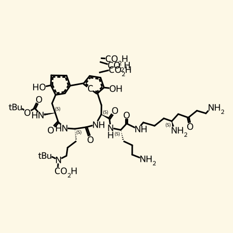 CC(=O)O.CC(=O)O.CC(=O)O.CC(C)(C)OC(=O)N[C@H]1Cc2cc(ccc2O)-c2ccc(O)c(c2)C[C@@H](C(=O)N[C@@H](CCCN)C(=O)NCCC[C@H](N)CC(=O)CCN)NC(=O)[C@H](CCCN(C(=O)O)C(C)(C)C)NC1=O